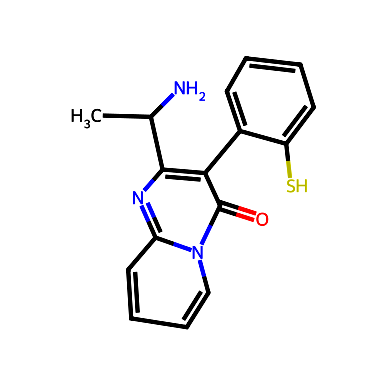 CC(N)c1nc2ccccn2c(=O)c1-c1ccccc1S